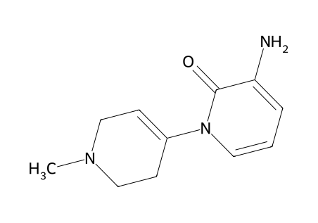 CN1CC=C(n2cccc(N)c2=O)CC1